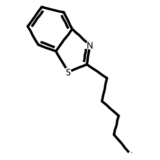 [CH2]CCCCc1nc2ccccc2s1